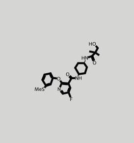 CSc1cccc(Oc2ncc(F)cc2C(=O)N[C@H]2CC[C@@H](NC(=O)C(C)(C)CO)CC2)c1